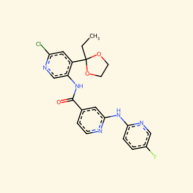 CCC1(c2cc(Cl)ncc2NC(=O)c2ccnc(Nc3ccc(F)cn3)c2)OCCO1